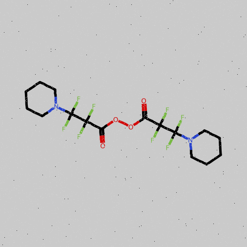 O=C(OOC(=O)C(F)(F)C(F)(F)N1CCCCC1)C(F)(F)C(F)(F)N1CCCCC1